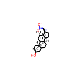 C[C@]12CCC(O)CC1=CC[C@@H]1[C@@H]2CC[C@]2(C)/C(=C\[N+](=O)[O-])CC[C@@H]12